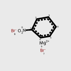 O=[N+]([O-])c1ccccc1.[Br-].[Br-].[Mg+2]